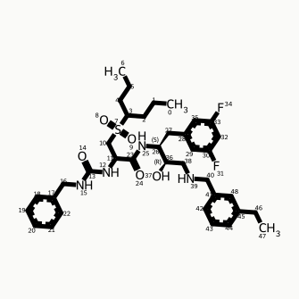 CCCC(CCC)S(=O)(=O)CC(NC(=O)NCc1ccccc1)C(=O)N[C@@H](Cc1cc(F)cc(F)c1)[C@H](O)CNCc1cccc(CC)c1